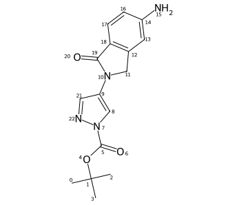 CC(C)(C)OC(=O)n1cc(N2Cc3cc(N)ccc3C2=O)cn1